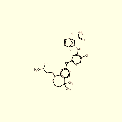 CN(C)CCN1CCCC(C)(C)c2ccc(Nc3ncc(Cl)c(N[C@H]4[C@@H](C(N)=O)[C@@H]5C=C[C@H]4C5)n3)cc21